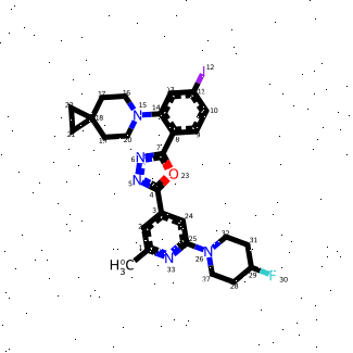 Cc1cc(-c2nnc(-c3ccc(I)cc3N3CCC4(CC3)CC4)o2)cc(N2CCC(F)CC2)n1